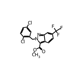 COC(=O)c1c2ccc(C(F)(F)F)cc2nn1Cc1cc(Cl)ccc1Cl